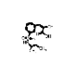 CCC(C)NS(=O)(=O)c1cccc(C=C(C)C(=O)O)c1